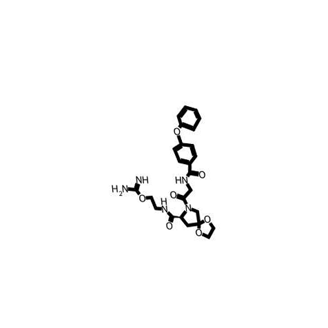 N=C(N)OCCNC(=O)[C@@H]1CC2(CN1C(=O)CNC(=O)c1ccc(Oc3ccccc3)cc1)OCCO2